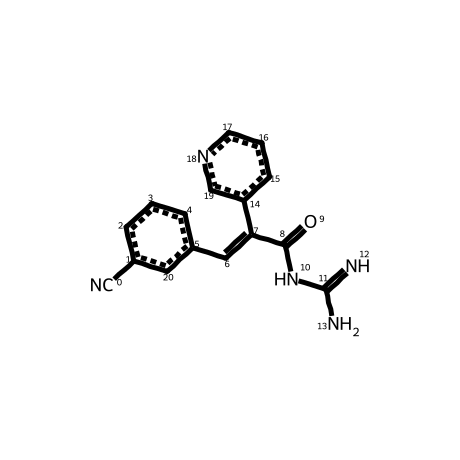 N#Cc1cccc(/C=C(/C(=O)NC(=N)N)c2cccnc2)c1